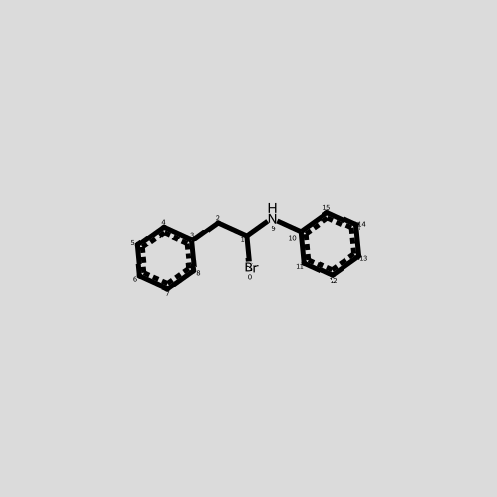 BrC(Cc1ccccc1)Nc1cc[c]cc1